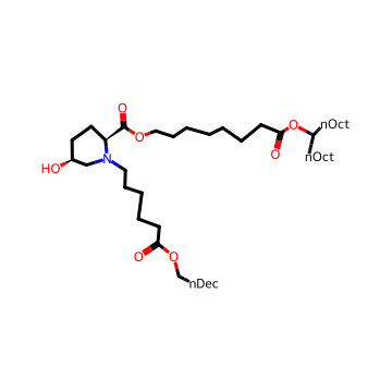 CCCCCCCCCCCOC(=O)CCCCCN1C[C@@H](O)CC[C@H]1C(=O)OCCCCCCCC(=O)OC(CCCCCCCC)CCCCCCCC